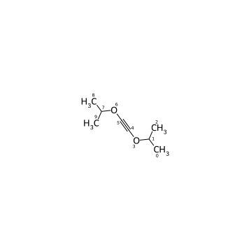 CC(C)OC#COC(C)C